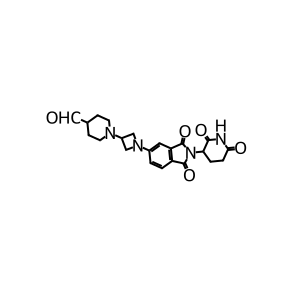 O=CC1CCN(C2CN(c3ccc4c(c3)C(=O)N(C3CCC(=O)NC3=O)C4=O)C2)CC1